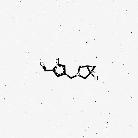 O=Cc1cc(CN2CC3C[C@@H]3C2)c[nH]1